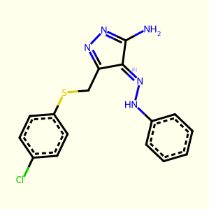 NC1=NN=C(CSc2ccc(Cl)cc2)/C1=N\Nc1ccccc1